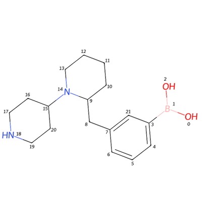 OB(O)c1cccc(CC2CCCCN2C2CCNCC2)c1